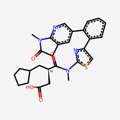 CN(C(=O)[C@@H](CC(=O)O)CC1CCCC1)c1nc(-c2ccccc2-c2cnc3c(c2)CC(=O)N3C)cs1